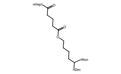 CCCCCCCCCCC(CCCCCCCCC)CCCCOC(=O)CCCC(=O)CCCCCCC